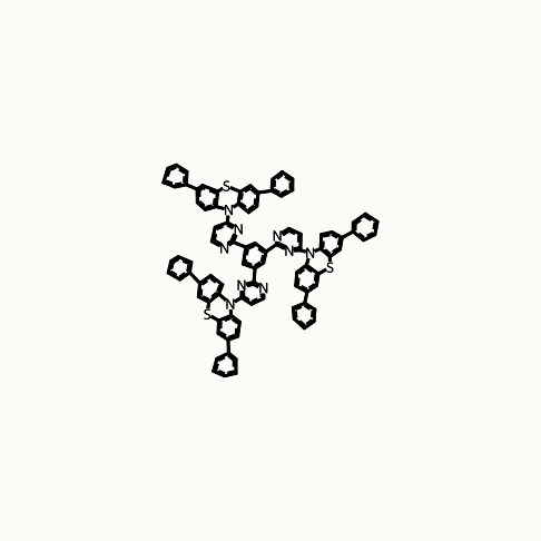 c1ccc(-c2ccc3c(c2)Sc2cc(-c4ccccc4)ccc2N3c2ccnc(-c3cc(-c4nccc(N5c6ccc(-c7ccccc7)cc6Sc6cc(-c7ccccc7)ccc65)n4)cc(-c4nccc(N5c6ccc(-c7ccccc7)cc6Sc6cc(-c7ccccc7)ccc65)n4)c3)n2)cc1